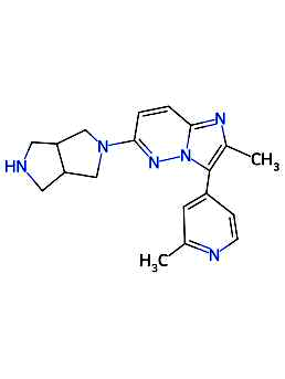 Cc1cc(-c2c(C)nc3ccc(N4CC5CNCC5C4)nn23)ccn1